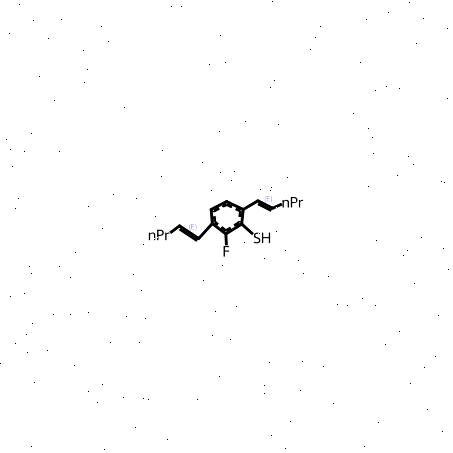 CCC/C=C/c1ccc(/C=C/CCC)c(S)c1F